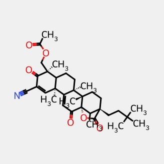 CC(=O)OC[C@]1(C)C(=O)C(C#N)=C[C@]2(C)C3=CC(=O)[C@@]45OC(=O)[C@@](CCC(C)(C)C)(CC[C@@]4(C)[C@]3(C)CCC21)C5C